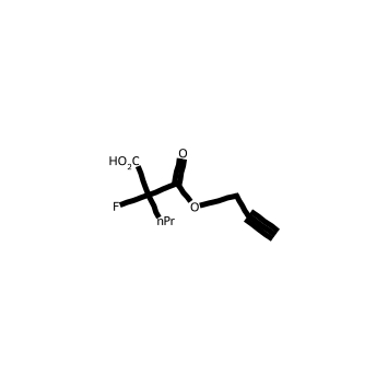 C#CCOC(=O)C(F)(CCC)C(=O)O